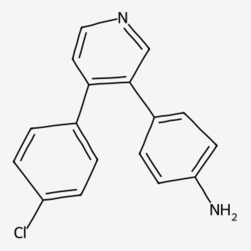 Nc1ccc(-c2cnccc2-c2ccc(Cl)cc2)cc1